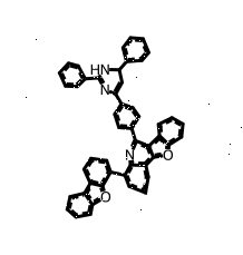 C1=C(c2ccc(-c3nc4c(-c5cccc6c5oc5ccccc56)cccc4c4oc5ccccc5c34)cc2)N=C(c2ccccc2)NC1c1ccccc1